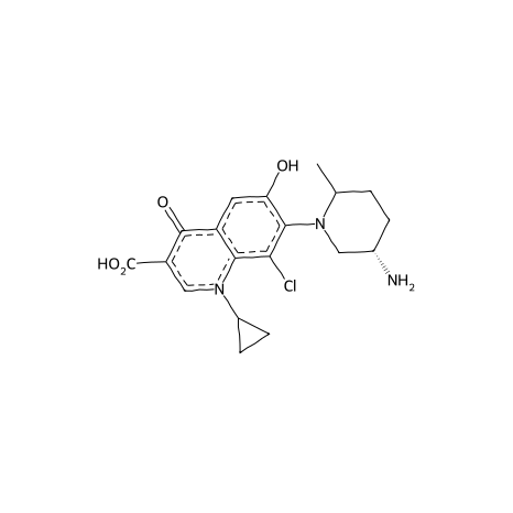 CC1CC[C@H](N)CN1c1c(O)cc2c(=O)c(C(=O)O)cn(C3CC3)c2c1Cl